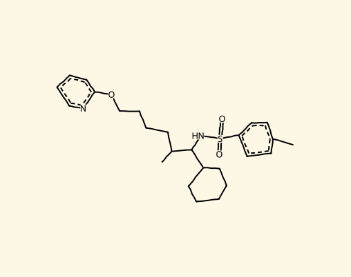 Cc1ccc(S(=O)(=O)NC(C(C)CCCCOc2ccccn2)C2CCCCC2)cc1